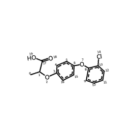 CC(Oc1ccc(Oc2ccccc2Cl)cc1)C(=O)O